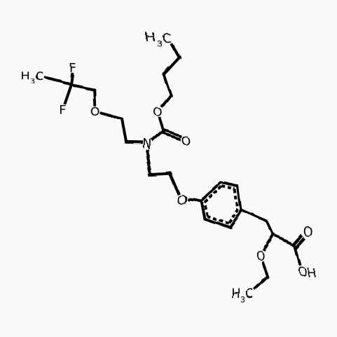 CCCCOC(=O)N(CCOCC(C)(F)F)CCOc1ccc(CC(OCC)C(=O)O)cc1